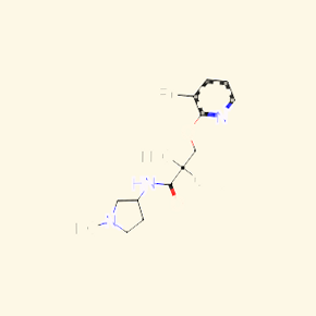 CCc1cccnc1OCC(C)(C)C(=O)NC1CCN(C)C1